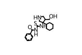 O=C(NC(=S)NC1(C2CCCCC2)CNCC1CO)c1ccccc1